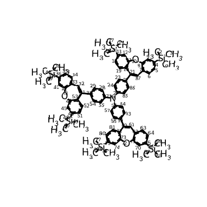 C[Si](C)(C)c1ccc2c(c1)Oc1cc([Si](C)(C)C)ccc1C(c1ccc(N(c3ccc(C4=Cc5ccc([Si](C)(C)C)cc5Oc5cc([Si](C)(C)C)ccc54)cc3)c3ccc(C4=Cc5ccc([Si](C)(C)C)cc5Oc5cc([Si](C)(C)C)ccc54)cc3)cc1)=C2